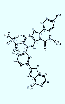 CNC(=O)c1c(-c2ccc(F)cc2)oc2cc(N(C)S(C)(=O)=O)c(-c3cccc(-c4nc5c(C)cccc5s4)c3)cc12